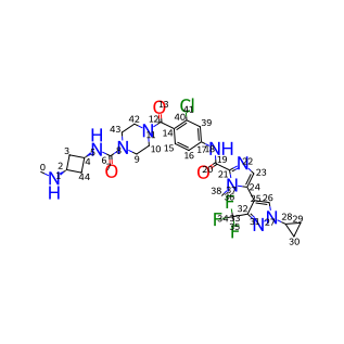 CN[C@H]1C[C@@H](NC(=O)N2CCN(C(=O)c3ccc(NC(=O)c4ncc(-c5cn(C6CC6)nc5C(F)(F)F)n4C)cc3Cl)CC2)C1